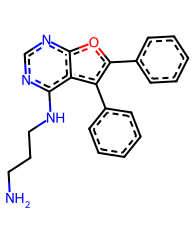 NCCCNc1ncnc2oc(-c3ccccc3)c(-c3ccccc3)c12